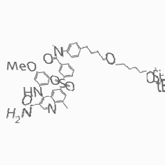 COc1cccc(Nc2c(C(N)=O)cnc3c(C)cc(S(=O)(=O)c4cccc(C(=O)N(C)c5ccc(CCCCOCCCCCCO[Si](C)(C)C(C)(C)C)cc5)c4)cc23)c1